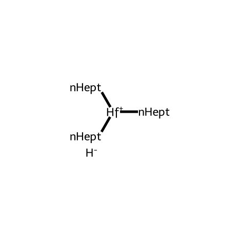 CCCCCC[CH2][Hf+]([CH2]CCCCCC)[CH2]CCCCCC.[H-]